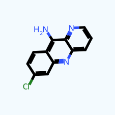 Nc1c2ccc(Cl)cc2nc2cccnc12